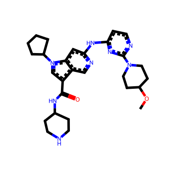 COC1CCN(c2nccc(Nc3cc4c(cn3)c(C(=O)NC3CCNCC3)cn4C3CCCC3)n2)CC1